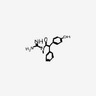 CN(C(=N)N)C(=O)C(c1ccccc1)c1ccc(O)cc1